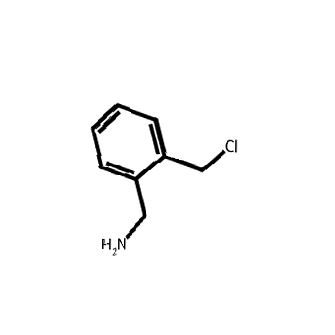 NCc1ccccc1CCl